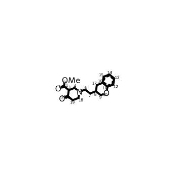 COC(=O)C1CN(CCC2COc3ccccc3C2)CCC1=O